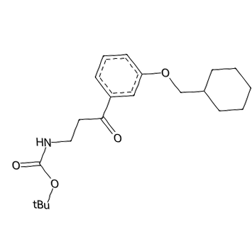 CC(C)(C)OC(=O)NCCC(=O)c1cccc(OCC2CCCCC2)c1